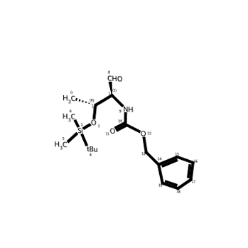 C[C@@H](O[Si](C)(C)C(C)(C)C)[C@@H](C=O)NC(=O)OCc1ccccc1